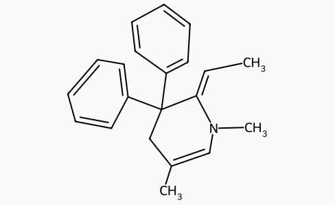 CC=C1N(C)C=C(C)CC1(c1ccccc1)c1ccccc1